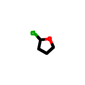 ClC1CCCO1